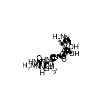 CC1(C)Nc2nc(N)[nH]c(=O)c2N=C1C(=O)NC1CCN(CCS(=O)(=O)C[C@H]2O[C@@H](n3cnc4c(N)ncnc43)C(O)C2O)CC1